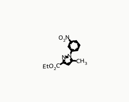 CCOC(=O)c1cc(C)n(-c2cccc([N+](=O)[O-])c2)n1